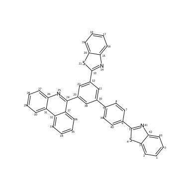 c1ccc2sc(-c3ccc(-c4cc(-c5nc6ccccc6s5)cc(-c5nc6ccccc6c6ccccc56)c4)cc3)nc2c1